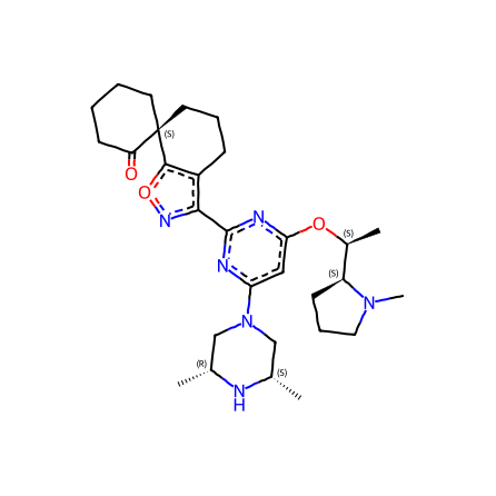 C[C@@H]1CN(c2cc(O[C@@H](C)[C@@H]3CCCN3C)nc(-c3noc4c3CCC[C@@]43CCCCC3=O)n2)C[C@H](C)N1